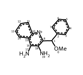 COC(c1ccccc1)c1nc2ccccc2c(N)c1N